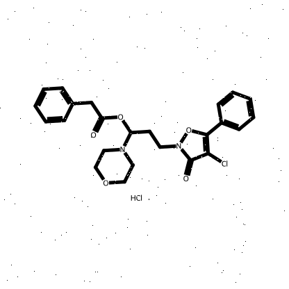 Cl.O=C(Cc1ccccc1)OC(CCn1oc(-c2ccccc2)c(Cl)c1=O)N1CCOCC1